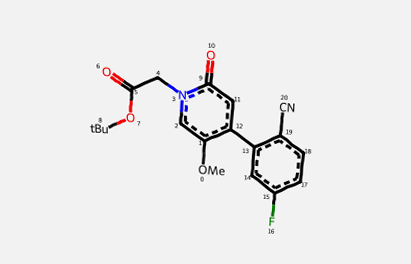 COc1cn(CC(=O)OC(C)(C)C)c(=O)cc1-c1cc(F)ccc1C#N